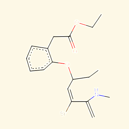 C=C(NC)/C(Br)=C\C(CC)Oc1ccccc1CC(=O)OCC